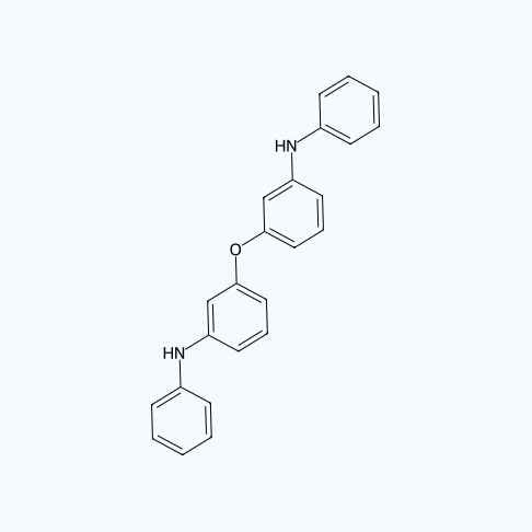 c1ccc(Nc2cccc(Oc3cccc(Nc4ccccc4)c3)c2)cc1